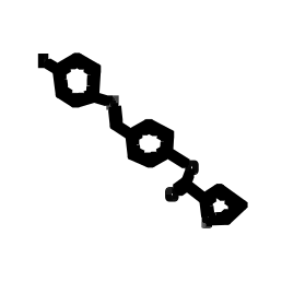 O=C(Oc1ccc(/C=N/c2ccc(F)cc2)cc1)c1cccs1